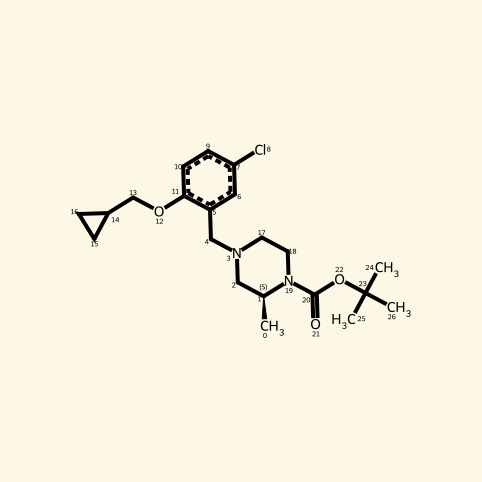 C[C@H]1CN(Cc2cc(Cl)ccc2OCC2CC2)CCN1C(=O)OC(C)(C)C